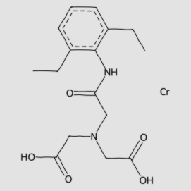 CCc1cccc(CC)c1NC(=O)CN(CC(=O)O)CC(=O)O.[Cr]